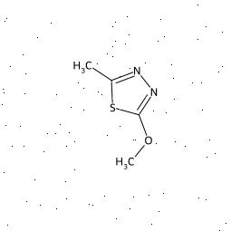 COc1nnc(C)s1